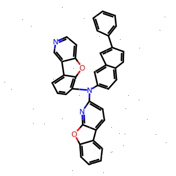 c1ccc(-c2ccc3ccc(N(c4ccc5c(n4)oc4ccccc45)c4cccc5c4oc4ccncc45)cc3c2)cc1